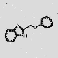 [c]1ccc(OCc2nc3ccccc3[nH]2)cc1